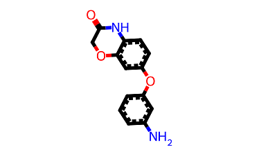 Nc1cccc(Oc2ccc3c(c2)OCC(=O)N3)c1